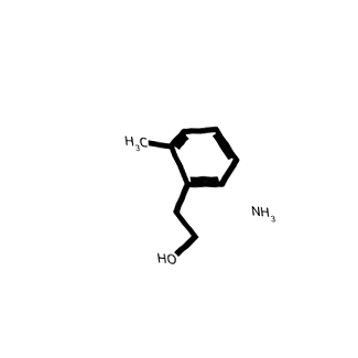 Cc1ccccc1CCO.N